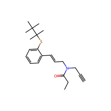 C#CCN(C/C=C/c1ccccc1SC(C)(C)C(C)(C)C)C(=O)CC